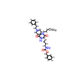 COCCCN1C(=O)[C@H](CCCCNC(=O)OCc2ccccc2)NC(=O)C12CCN(CCc1ccccc1)CC2